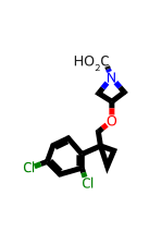 O=C(O)N1CC(OCC2(c3ccc(Cl)cc3Cl)CC2)C1